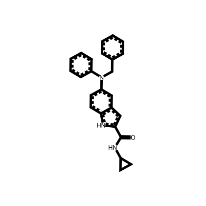 O=C(NC1CC1)c1cc2cc(N(Cc3ccccc3)c3ccccc3)ccc2[nH]1